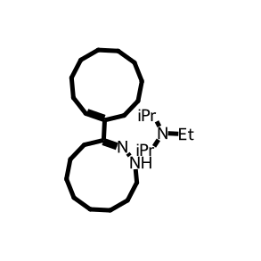 C1=C(C2=NNCCCCCCCC2)CCCCCCCCC1.CCN(C(C)C)C(C)C